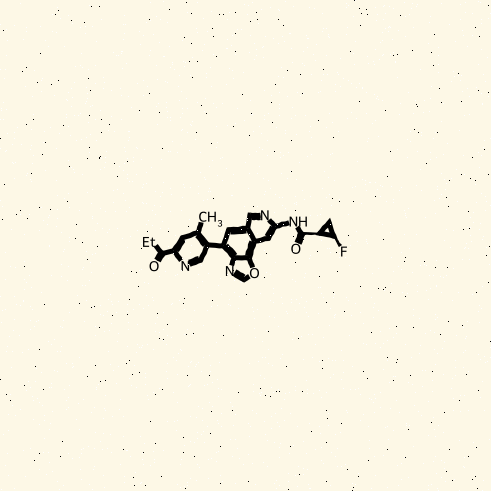 CCC(=O)c1cc(C)c(-c2cc3cnc(NC(=O)[C@H]4C[C@H]4F)cc3c3ocnc23)cn1